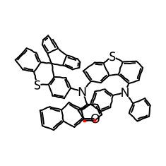 c1ccc(N(c2ccc3c(c2)C2(c4ccccc4S3)c3ccccc3-c3ccccc32)c2ccc3sc4cccc(N(c5ccccc5)c5ccc6c(c5)oc5cc7ccccc7cc56)c4c3c2)cc1